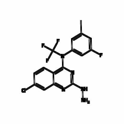 NNc1nc(N(c2cc(F)cc(I)c2)C(F)(F)F)c2ccc(Cl)cc2n1